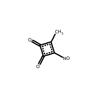 Cc1c(N=O)c(=O)c1=O